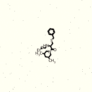 CCOCNC(CSCc1ccccc1)C(=O)N1CC(C)CC(C)C1